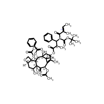 C/C=C(\C)C(=O)N(C(=O)OC(C)(C)C)C(c1ccccc1)[C@@H](C)C(=O)O[C@H]1C[C@@]2(O)[C@@H](OC(=O)c3ccccc3)[C@@H]3[C@]4(OC(C)=O)CO[C@@H]4C[C@H](C)[C@@]3(C)C(=O)[C@H](OC(C)=O)C(=C1C)C2(C)C